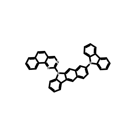 c1ccc2c(c1)ccc1cnc(-n3c4ccccc4c4cc5ccc(-n6c7ccccc7c7ccccc76)cc5cc43)nc12